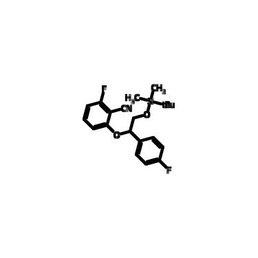 CC(C)(C)[Si](C)(C)OCC(Oc1cccc(F)c1C#N)c1ccc(F)cc1